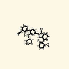 COc1cccc(F)c1-c1nccc2c1CN(c1ccc(-c3cncc(C#N)c3)c(N[C@H]3CCNC3)n1)C2=O